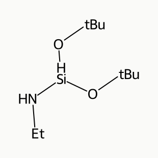 CCN[SiH](OC(C)(C)C)OC(C)(C)C